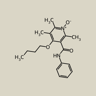 CCCCOc1c(C)c(C)[n+]([O-])c(C)c1C(=O)Nc1ccccc1